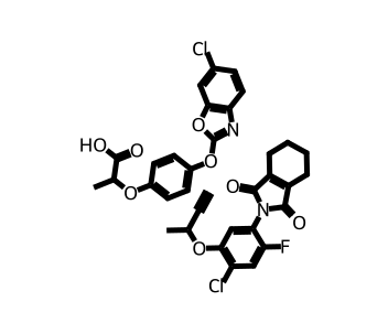 C#CC(C)Oc1cc(N2C(=O)C3=C(CCCC3)C2=O)c(F)cc1Cl.CC(Oc1ccc(Oc2nc3ccc(Cl)cc3o2)cc1)C(=O)O